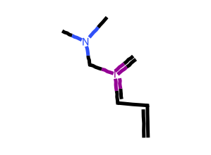 C=C/C=I(=C)/CN(C)C